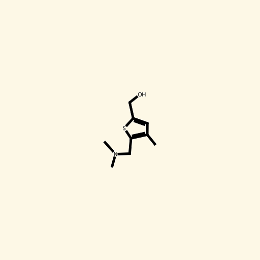 Cc1cc(CO)sc1CN(C)C